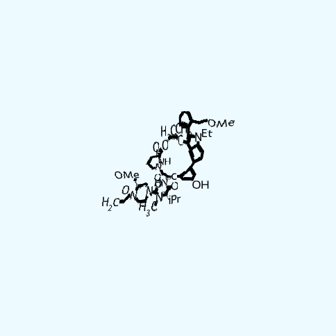 C=CC(=O)N1CCN(C(=O)N(C)[C@H](C(=O)N[C@H]2Cc3cc(O)cc(c3)-c3ccc4c(c3)c(c(-c3ccccc3CCOC)n4CC)CC(C)(C)COC(=O)[C@@H]3CCCN(N3)C2=O)C(C)C)C[C@H]1COC